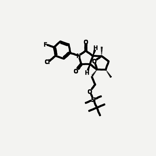 C[C@H]1C[C@@]2(C)O[C@]1(CCO[Si](C)(C)C(C)(C)C)[C@@H]1C(=O)N(c3ccc(F)c(Cl)c3)C(=O)[C@@H]12